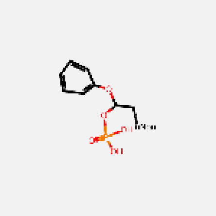 CCCCCCCCCCC(Oc1ccccc1)OP(=O)(O)O